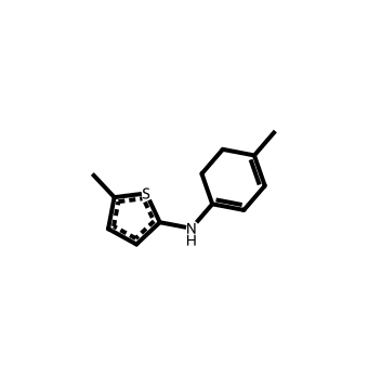 CC1=CC=C(Nc2ccc(C)s2)CC1